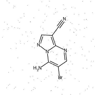 N#Cc1cnn2c(N)c(Br)cnc12